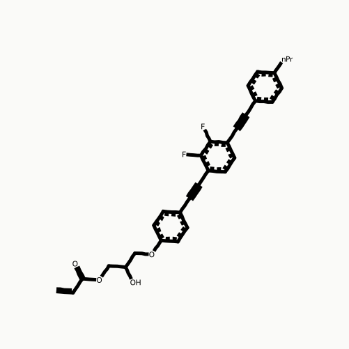 C=CC(=O)OCC(O)COc1ccc(C#Cc2ccc(C#Cc3ccc(CCC)cc3)c(F)c2F)cc1